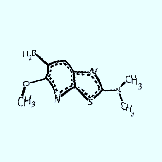 Bc1cc2nc(N(C)C)sc2nc1OC